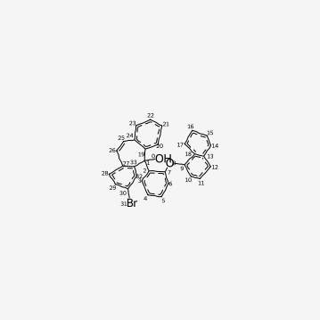 OC1(c2ccccc2Oc2cccc3ccccc23)c2ccccc2C=Cc2ccc(Br)cc21